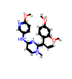 C=C/C(=C1/N=C(Nc2ccc(OC)nc2)C=CN1C)c1ccc(OC)cc1OC